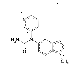 Cn1ccc2cc(N(C(N)=O)c3cccnc3)ccc21